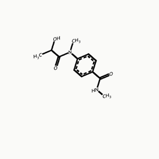 CNC(=O)c1ccc(N(C)C(=O)C(C)O)cc1